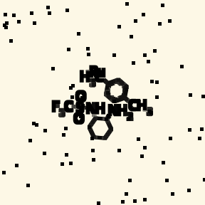 Cc1ccc(C)cc1.N[C@H]1CCCC[C@@H]1NS(=O)(=O)C(F)(F)F.[Ru]